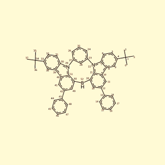 CC(C)(C)c1ccc2c(c1)c1cc(-c3ccccc3)cc3c1n2-c1cccc(c1)-n1c2ccc(C(C)(C)C)cc2c2cc(-c4ccccc4)cc(c21)B3